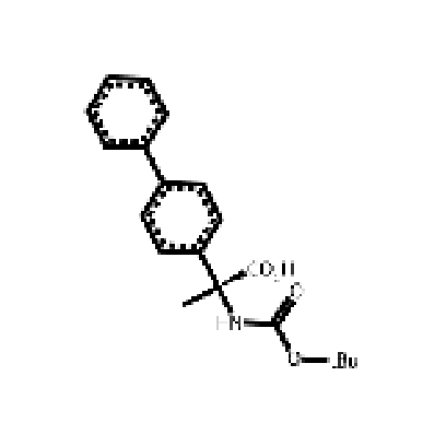 CC(C)(C)OC(=O)N[C@@](C)(C(=O)O)c1ccc(-c2ccccc2)cc1